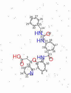 O=C(O)CC(Oc1ccccc1NC(=O)c1cccc(NC(=O)NCc2ccccc2)c1)c1cccnc1